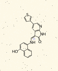 O=C1Nc2ncc(-c3ccsc3)cc2/C1=C/Nc1ccc(O)c2ccccc12